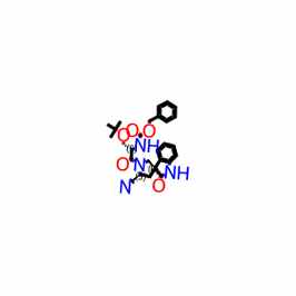 CC(C)(C)OC[C@H](NC(=O)OCc1ccccc1)C(=O)N1C[C@]2(C[C@H]1C#N)C(=O)Nc1ccccc12